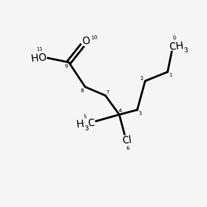 CCCCC(C)(Cl)CCC(=O)O